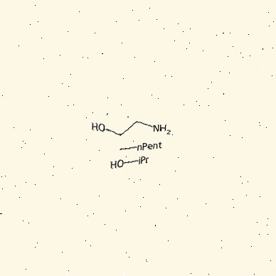 CC(C)O.CCCCCC.NCCO